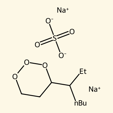 CCCCC(CC)C1CCOOO1.O=S(=O)([O-])[O-].[Na+].[Na+]